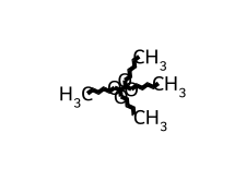 CCCCCOC(OCCCCC)C(OCCCCC)OCCCCC